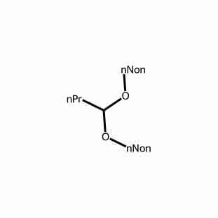 CCCCCCCCCOC(CCC)OCCCCCCCCC